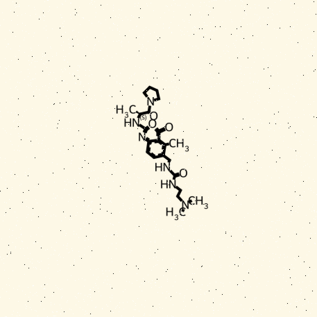 Cc1c(CNC(=O)NCCN(C)C)ccc2nc(N[C@@H](C)C(=O)N3CCCC3)oc(=O)c12